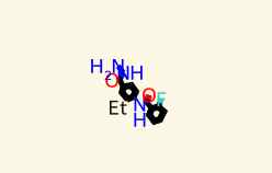 CCc1cc(C(=O)NN)ccc1NC(=O)c1ccccc1F